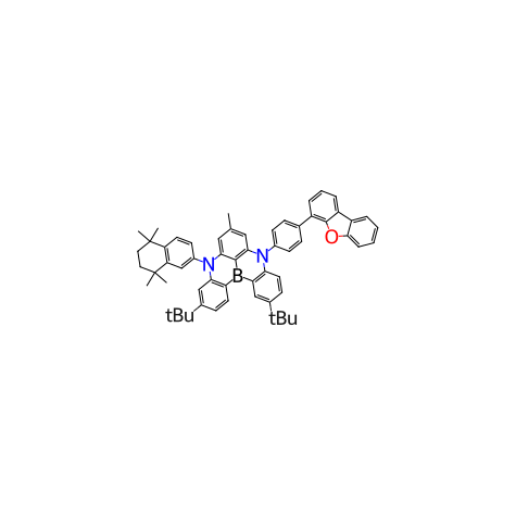 Cc1cc2c3c(c1)N(c1ccc4c(c1)C(C)(C)CCC4(C)C)c1cc(C(C)(C)C)ccc1B3c1cc(C(C)(C)C)ccc1N2c1ccc(-c2cccc3c2oc2ccccc23)cc1